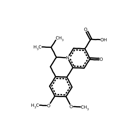 COc1cc2c(cc1OC)-c1cc(=O)c(C(=O)O)cn1C(C(C)C)C2